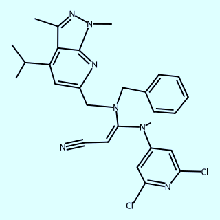 Cc1nn(C)c2nc(CN(Cc3ccccc3)/C(=C\C#N)N(C)c3cc(Cl)nc(Cl)c3)cc(C(C)C)c12